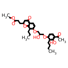 CCCCc1c(OCC(O)COc2ccc3c(=O)cc(CCC(=O)OCC)oc3c2CCC)ccc(C(C)=O)c1O